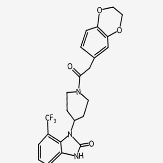 O=C(Cc1ccc2c(c1)OCCO2)N1CCC(n2c(=O)[nH]c3cccc(C(F)(F)F)c32)CC1